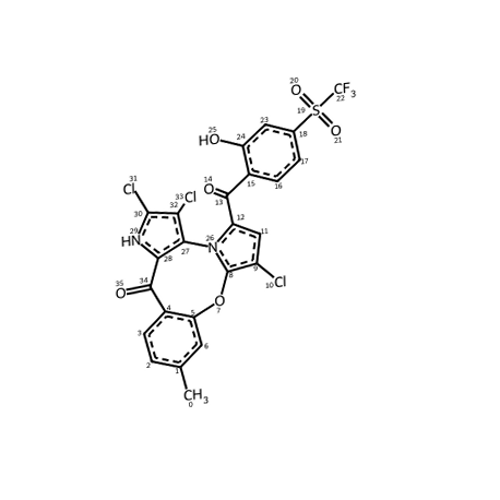 Cc1ccc2c(c1)Oc1c(Cl)cc(C(=O)c3ccc(S(=O)(=O)C(F)(F)F)cc3O)n1-c1c([nH]c(Cl)c1Cl)C2=O